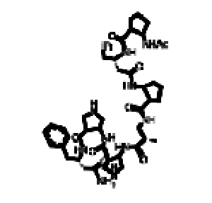 CC(=O)NC1CCCC1C(=O)N[C@H](CC(=O)NC1CCCC1C(=O)NC[C@H](C)C(=O)NC1CNCC1C(=O)NC1CNCC1C(=O)N[C@H](CC(N)=O)Cc1ccccc1)CC(C)C